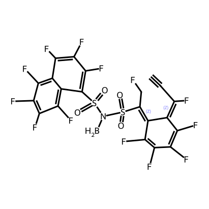 BN(S(=O)(=O)/C(CF)=c1\c(F)c(F)c(F)c(F)\c1=C(/F)C#C)S(=O)(=O)c1c(F)c(F)c(F)c2c(F)c(F)c(F)c(F)c12